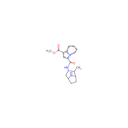 COC(=O)c1cc(C(=O)NC2CC3CCC(N3)C2C)n2ccccc12